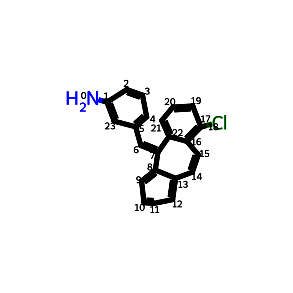 Nc1cccc(C=C2c3ccccc3C=Cc3c(Cl)cccc32)c1